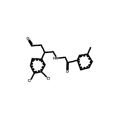 Cc1cccc(C(=O)CNCC(CC=O)c2ccc(Cl)c(Cl)c2)c1